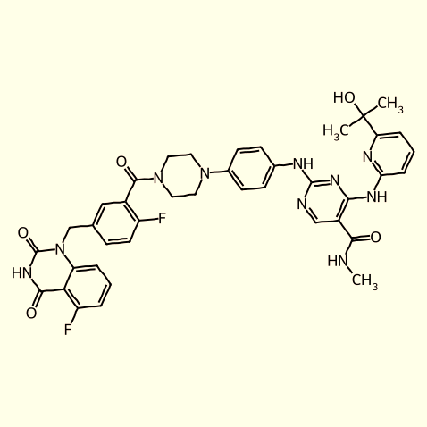 CNC(=O)c1cnc(Nc2ccc(N3CCN(C(=O)c4cc(Cn5c(=O)[nH]c(=O)c6c(F)cccc65)ccc4F)CC3)cc2)nc1Nc1cccc(C(C)(C)O)n1